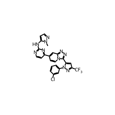 Cn1nccc1Nc1nccc(-c2ccn3c(-c4cc(C(F)(F)F)nn4-c4cccc(Cl)c4)nnc3c2)n1